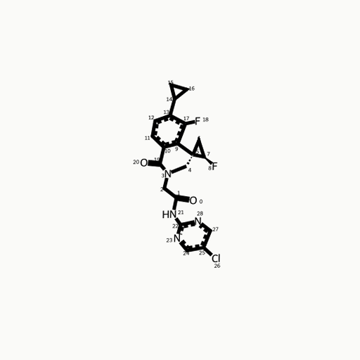 O=C(CN1C[C@@]2(C[C@H]2F)c2c(ccc(C3CC3)c2F)C1=O)Nc1ncc(Cl)cn1